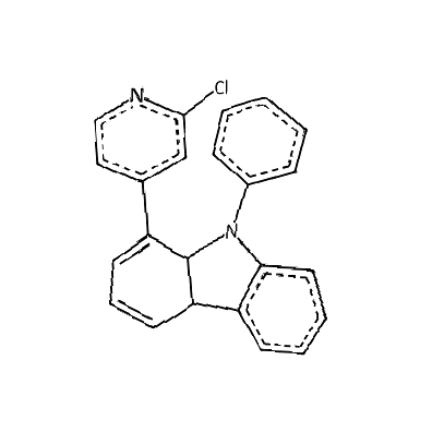 Clc1cc(C2=CC=CC3c4ccccc4N(c4ccccc4)C23)ccn1